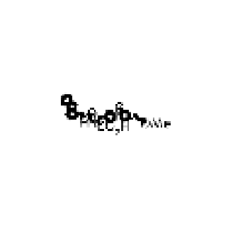 COCCCN1CCN(c2ccc(CC(NC(=O)OCc3cccc4c3Cc3ccccc3-4)C(=O)O)cc2)C(=O)C1